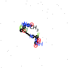 CC(=O)N1CCN(c2ncnc3c(F)c(-c4c(F)cccc4OCCCCCCCN4CCC(c5cc(F)cc6c5CN(C5CCC(=O)NC5=O)C6=O)CC4)c(Cl)cc23)CC1